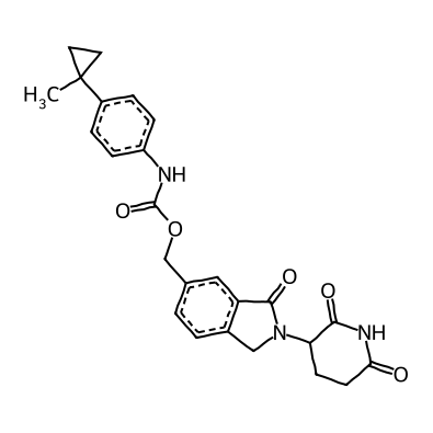 CC1(c2ccc(NC(=O)OCc3ccc4c(c3)C(=O)N(C3CCC(=O)NC3=O)C4)cc2)CC1